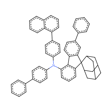 c1ccc(-c2ccc(N(c3ccc(-c4cccc5ccccc45)cc3)c3cccc4c3-c3ccc(-c5ccccc5)cc3C43C4CC5CC(C4)CC3C5)cc2)cc1